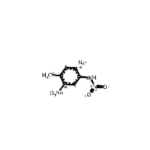 Cc1ccc(N[SH](=O)=O)cc1[N+](=O)[O-].[Na]